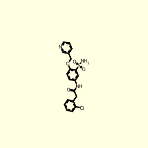 NS(=O)(=O)c1cc(NC(=O)Cc2ccccc2Cl)ccc1OCc1cccnc1